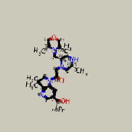 CCC[C@H](O)c1cnc2c(c1)N(C(=O)CN1C[C@@H](C)NC[C@@H]1CN1[C@H](C)COC[C@H]1C)CC2(C)C